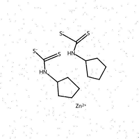 S=C([S-])NC1CCCC1.S=C([S-])NC1CCCC1.[Zn+2]